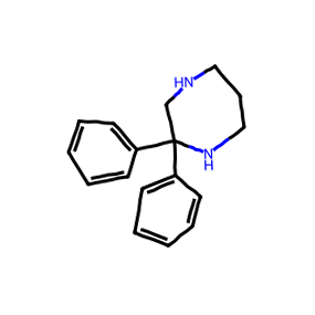 c1ccc(C2(c3ccccc3)CNCCCN2)cc1